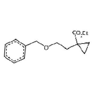 CCOC(=O)C1(CCOCc2ccccc2)CC1